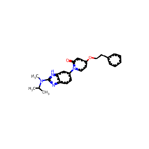 CC(C)N(C)c1nc2ccc(-n3ccc(OCCc4ccccc4)cc3=O)cc2[nH]1